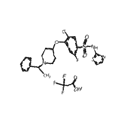 CC(c1ccccc1)N1CCC(Oc2cc(F)c(S(=O)(=O)Nc3nccs3)cc2Cl)CC1.O=C(O)C(F)(F)F